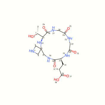 C[C@@H](O)[C@@H]1NC2(CNC2)CNC(=O)[C@H](CCC(=O)O)NC(=O)CNC(=O)CNC1=O